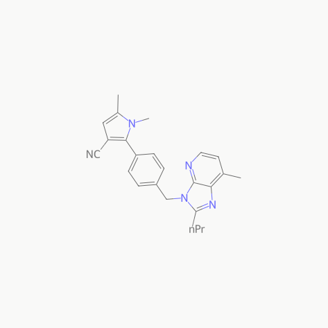 CCCc1nc2c(C)ccnc2n1Cc1ccc(-c2c(C#N)cc(C)n2C)cc1